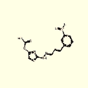 O=C(O)Oc1csc(NN=CC=Cc2cccc([N+](=O)[O-])c2)n1